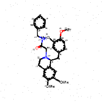 COc1cc2c(cc1OC)C(Cc1ccc(OC(C)C)c(OC)c1)N(CC(=O)NCc1ccccc1)CC2